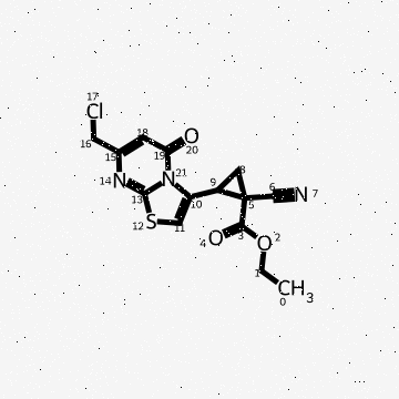 CCOC(=O)C1(C#N)CC1c1csc2nc(CCl)cc(=O)n12